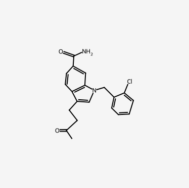 CC(=O)CCc1cn(Cc2ccccc2Cl)c2cc(C(N)=O)ccc12